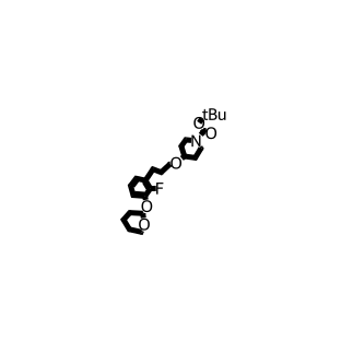 CC(C)(C)OC(=O)N1CCC(OCCCc2cccc(OC3CCCCO3)c2F)CC1